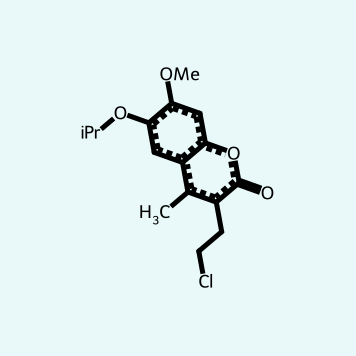 COc1cc2oc(=O)c(CCCl)c(C)c2cc1OC(C)C